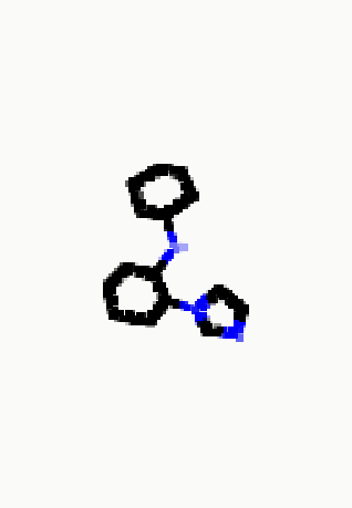 c1ccc(Nc2ccccc2-n2ccnc2)cc1